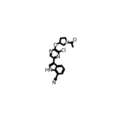 CC(=O)N1CCC(Oc2ncc(-c3c[nH]c4c(C#N)cccc34)nc2Cl)C1